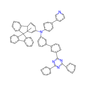 CC12C=C(N(c3ccc(-c4cccnc4)cc3)c3cccc(-c4cccc(-c5nc(-c6ccccc6)nc(-c6ccccc6)n5)c4)c3)C=CC1c1ccccc1C21c2ccccc2-c2ccccc21